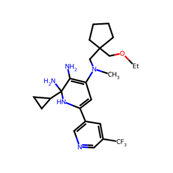 CCOCC1(CN(C)C2=C(N)C(N)(C3CC3)NC(c3cncc(C(F)(F)F)c3)=C2)CCCC1